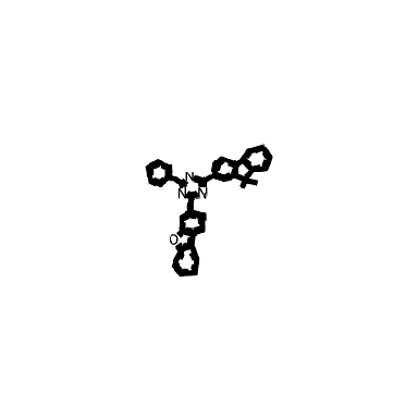 CC1(C)c2ccccc2-c2ccc(-c3nc(-c4ccccc4)nc(-c4ccc5c(c4)oc4ccccc45)n3)cc21